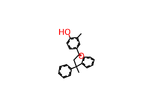 Cc1cc(C(=O)CC(C)(c2ccccc2)c2ccccc2)ccc1O